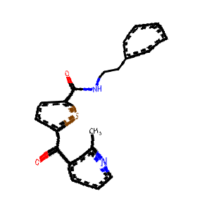 Cc1ncccc1C(=O)c1ccc(C(=O)NCCc2ccccc2)s1